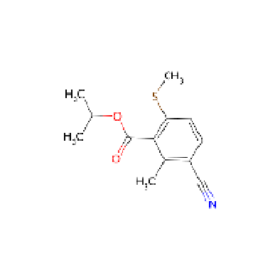 CSc1ccc(C#N)c(C)c1C(=O)OC(C)C